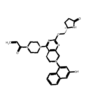 C=CC(=O)N1CCN(c2nc(OC[C@@H]3CCC(=O)N3)nc3c2CCN(c2cc(O)cc4ccccc24)C3)CC1